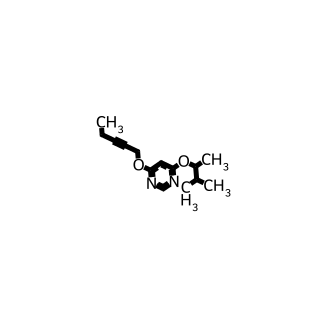 CCC#CCOc1cc(OC(C)C(C)C)ncn1